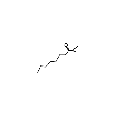 CC=CCCCCC(=O)OC